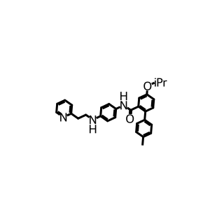 Cc1ccc(-c2ccc(OC(C)C)cc2C(=O)Nc2ccc(NCCc3ccccn3)cc2)cc1